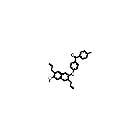 C=CCc1cc2cc(Oc3ccc(C(=O)c4ccc(C)cc4)cc3)c(CC=C)cc2cc1OC